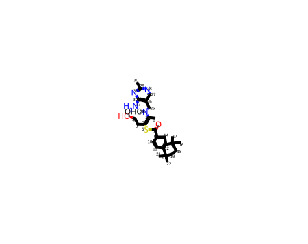 CC(=C(CCO)SC(=O)c1ccc2c(c1)C(C)(C)CCC2(C)C)N(C=O)Cc1cnc(C)nc1N